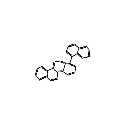 c1ccc2c(-c3cccc4c3ccc3c5ccccc5ccc43)cccc2c1